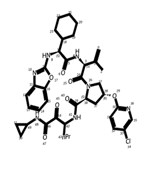 C=C(C)[C@H](NC(=O)[C@@H](Nc1nc2ccccc2o1)C1CCCCC1)C(=O)N1C[C@H](Oc2ccc(Cl)cn2)C[C@H]1C(=O)NC(CCC)C(=O)C(=O)NC1CC1